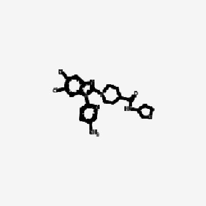 Cc1ccc(-n2c(N3CCC(C(=O)NC4CCOC4)CC3)nc3cc(Cl)c(Cl)cc32)nc1